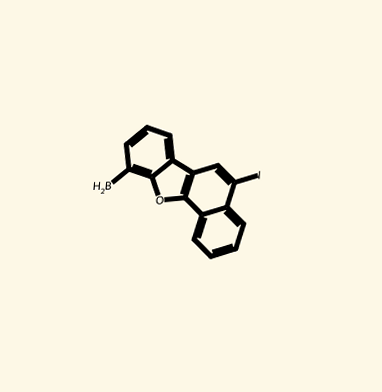 Bc1cccc2c1oc1c3ccccc3c(I)cc21